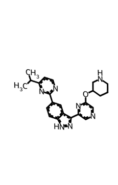 CC(C)c1ccnc(-c2ccc3[nH]nc(-c4cncc(OC5CCCNC5)n4)c3c2)n1